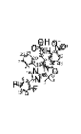 CC(C)(C)[C@H](c1nc(-c2cc(F)ccc2F)cn1Cc1ccccc1)N(CCCNC(=O)O)C(=O)c1ccc([N+](=O)[O-])cc1